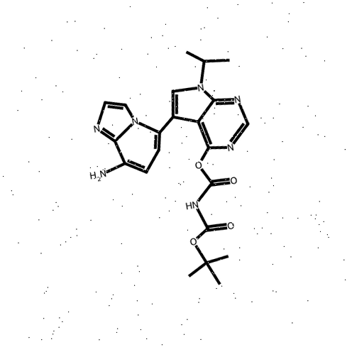 CC(C)n1cc(-c2ccc(N)c3nccn23)c2c(OC(=O)NC(=O)OC(C)(C)C)ncnc21